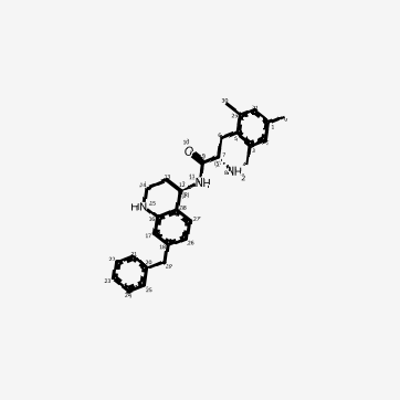 Cc1cc(C)c(C[C@H](N)C(=O)N[C@@H]2CCNc3cc(Cc4ccccc4)ccc32)c(C)c1